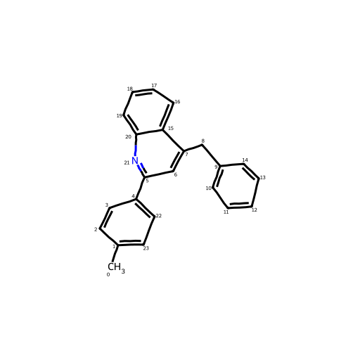 Cc1ccc(-c2cc(Cc3ccccc3)c3ccccc3n2)cc1